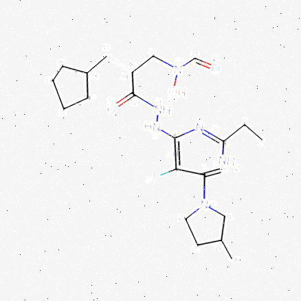 C=C(/C(F)=C(\N=C(/N)CC)NNC(=O)[C@H](CC1CCCC1)CN(O)C=O)N1CCC(C)C1